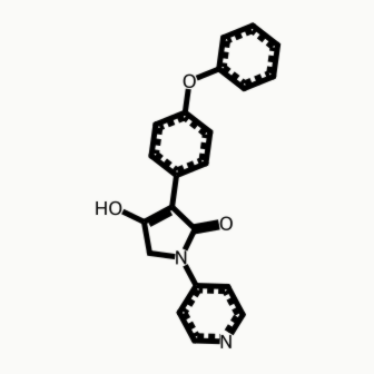 O=C1C(c2ccc(Oc3ccccc3)cc2)=C(O)CN1c1ccncc1